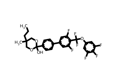 CCCC1(C)COC(O)(c2ccc(-c3cc(F)c(C(F)(F)Oc4cc(F)c(F)c(F)c4)c(F)c3)cc2)OC1